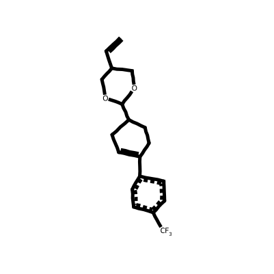 C=CC1COC(C2CC=C(c3ccc(C(F)(F)F)cc3)CC2)OC1